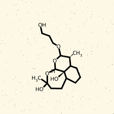 C[C@H]1C(OCCCO)O[C@@H]2OC(C)(O)CCC3CCCC1[C@]32O